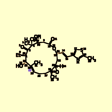 CC[C@H]1C(=O)C(C)(C)[C@@H](O)CC(=O)O[C@H](C=Cc2csc(C)n2)C[C@@H]2O[C@]2(C)CC/C=C(\C)[C@@H]1O